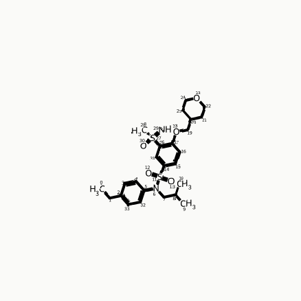 CCc1ccc(N(CC(C)C)S(=O)(=O)c2ccc(OCC3CCOCC3)c([S@@](C)(=N)=O)c2)cc1